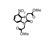 COC(=O)Cn1c(=O)n(CC(=O)OC)c2c([N+](=O)[O-])cccc21